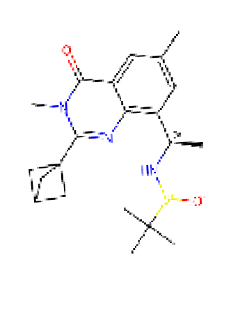 Cc1cc([C@@H](C)N[S+]([O-])C(C)(C)C)c2nc(C34CC(C3)C4)n(C)c(=O)c2c1